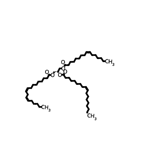 CCCCC/C=C\C/C=C\CCCCCCCC(=O)OC[C@H](COC(=O)CCCCCCC/C=C\CCCCCC)OC(=O)CCCCCCC/C=C\CCCCCCCC